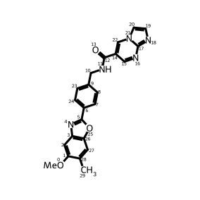 COc1cc2nc(-c3ccc(CNC(=O)c4cnc5nccn5c4)cc3)oc2cc1C